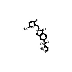 Cc1ccc(F)c(Cn2ncc3cc(S(=O)(=O)c4ccn[nH]4)ccc3c2=O)n1